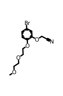 COCCOCCOc1ccc(Br)cc1OCC#N